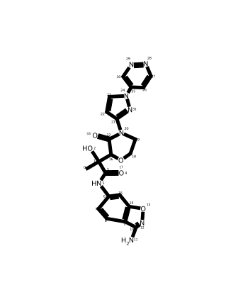 CC(O)(C(=O)Nc1ccc2c(N)noc2c1)C1OCCN(c2ccn(-c3ccnnc3)n2)C1=O